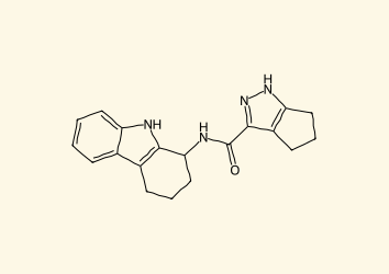 O=C(NC1CCCc2c1[nH]c1ccccc21)c1n[nH]c2c1CCC2